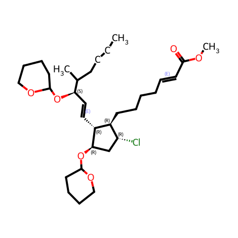 CCCCC(C)[C@@H](/C=C/[C@@H]1[C@@H](CCCC/C=C/C(=O)OC)[C@H](Cl)C[C@H]1OC1CCCCO1)OC1CCCCO1